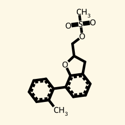 Cc1ccccc1-c1cccc2c1OC(COS(C)(=O)=O)C2